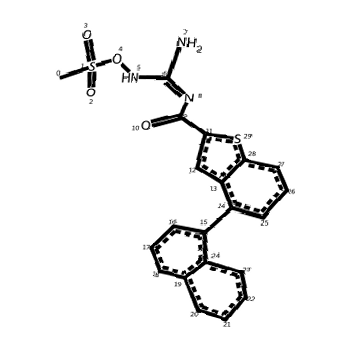 CS(=O)(=O)ONC(N)=NC(=O)c1cc2c(-c3cccc4ccccc34)cccc2s1